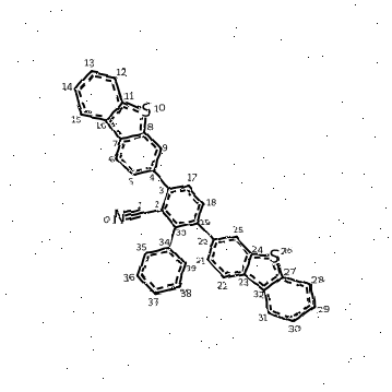 N#Cc1c(-c2ccc3c(c2)sc2ccccc23)ccc(-c2ccc3c(c2)sc2ccccc23)c1-c1ccccc1